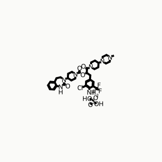 CN1CCN(C2CCN(C(=O)C(Cc3cc(Cl)c(N)c(C(F)(F)F)c3)OC(=O)N3CCC(N4CCc5ccccc5NC4=O)CC3)CC2)CC1.O=S(=O)(O)O